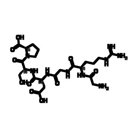 N=C(N)NCCC[C@@H](NC(=O)CN)C(=O)NCC(=O)N[C@H](CC(=O)O)C(=O)N[C@H](CO)C(=O)N1CCC[C@@H]1C(=O)O